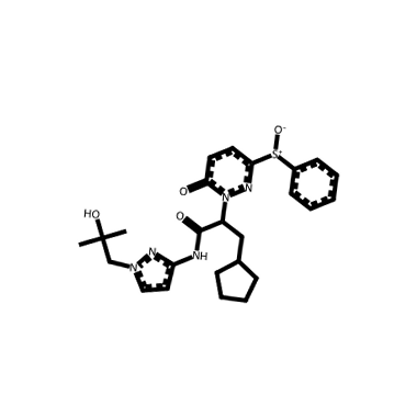 CC(C)(O)Cn1ccc(NC(=O)C(CC2CCCC2)n2nc([S+]([O-])c3ccccc3)ccc2=O)n1